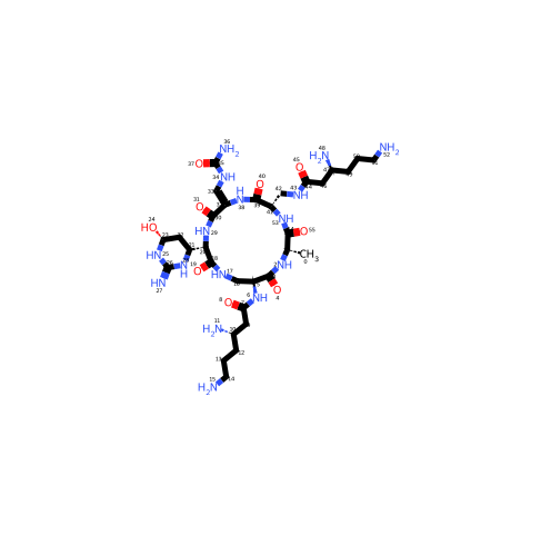 C[C@@H]1NC(=O)[C@@H](NC(=O)C[C@@H](N)CCCN)CNC(=O)[C@H](C2C[C@@H](O)NC(=N)N2)NC(=O)/C(=C/NC(N)=O)NC(=O)[C@H](CNC(=O)C[C@@H](N)CCCN)NC1=O